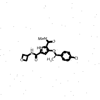 CNC(=O)c1[nH]c(C(=O)NC2COC2)cc1O[C@H](C)c1ccc(Cl)cc1